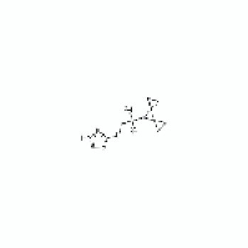 [2H]C([2H])(COc1cc[nH]n1)C1C2(CC2)C12CC2